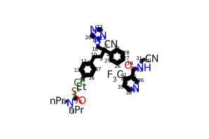 CCCN(CCC)C(=O)SCC.N#CC(CCc1ccc(Cl)cc1)(Cn1cncn1)c1ccccc1.N#CCNC(=O)c1cnccc1C(F)(F)F